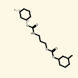 CC1CCCC(OC(=O)OCCCNC(=O)O[C@H]2CCC[C@@H](C)C2)C1